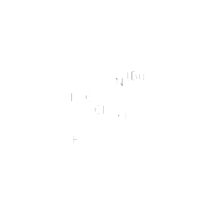 CC1(C)CCN(C(C)(C)C)C=C1C(=O)C1=CCC(F)CC1